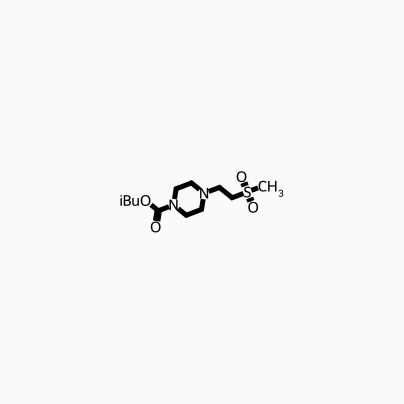 CC(C)COC(=O)N1CCN(CCS(C)(=O)=O)CC1